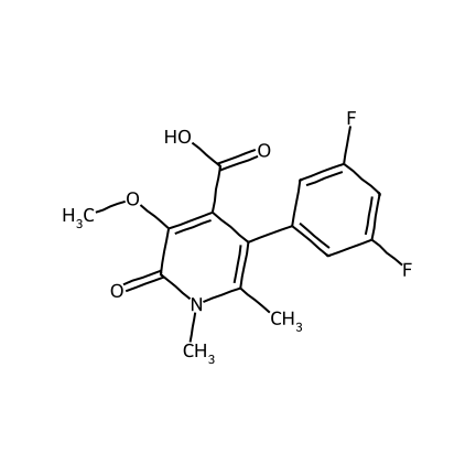 COc1c(C(=O)O)c(-c2cc(F)cc(F)c2)c(C)n(C)c1=O